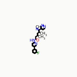 C=N/C(=C(C)\C=C(/C)CC(=O)Nc1ccc(-c2cccc(F)c2)cn1)c1ccnnc1